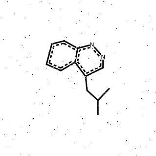 CC(C)Cc1cnnc2ccccc12